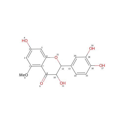 COc1cc(O)cc2c1C(=O)C(O)C(c1ccc(O)c(O)c1)O2